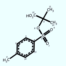 Cc1ccc(S(=O)(=O)OC(C)(C)C(=O)O)cc1